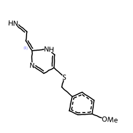 COc1ccc(CSC2=CN/C(=C\C=N)N=C2)cc1